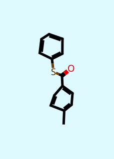 Cc1ccc(C(=O)Sc2ccccc2)cc1